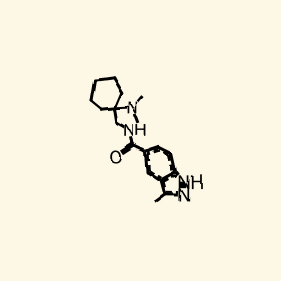 Cc1n[nH]c2ccc(C(=O)NCC3(N(C)C)CCCCC3)cc12